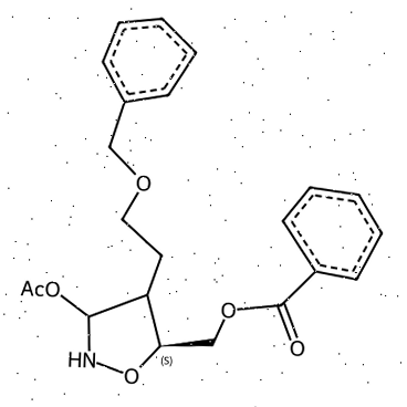 CC(=O)OC1NO[C@H](COC(=O)c2ccccc2)C1CCOCc1ccccc1